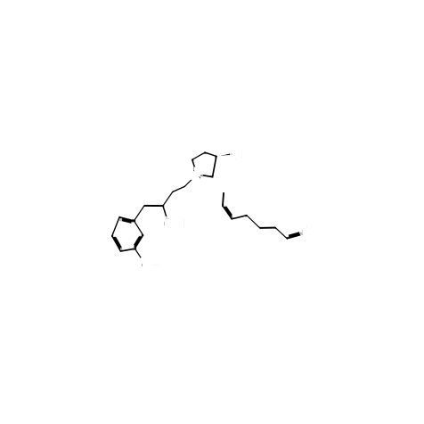 Cc1cccc(CC(O)CCN2CC[C@@H](Cl)[C@@H]2C/C=C\CCCC=O)c1